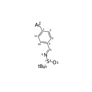 CC(=O)c1ccc(/C=N/[S@+]([O-])C(C)(C)C)cc1